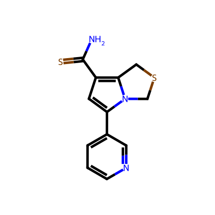 NC(=S)c1cc(-c2cccnc2)n2c1CSC2